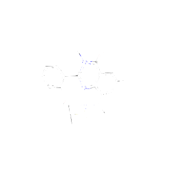 COc1ccccc1-c1nc2c([C@@H](C)N[S+]([O-])C(C)(C)C)cc(C)cc2c(=O)n1C